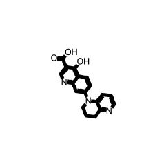 O=C(O)c1cnc2cc(N3CCCc4ncccc43)ccc2c1O